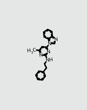 Cc1cc(-n2cnc3ccccc32)nc(NCCc2ccccc2)n1